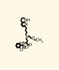 CCOCCN(CCCCc1ccc2c(n1)NCCC2)CCC(NC(=O)c1ccccc1Cl)C(=O)O